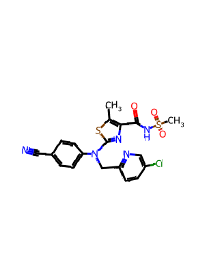 Cc1sc(N(Cc2ccc(Cl)cn2)c2ccc(C#N)cc2)nc1C(=O)NS(C)(=O)=O